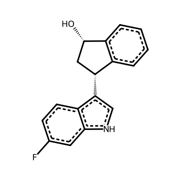 O[C@H]1C[C@@H](c2c[nH]c3cc(F)ccc23)c2ccccc21